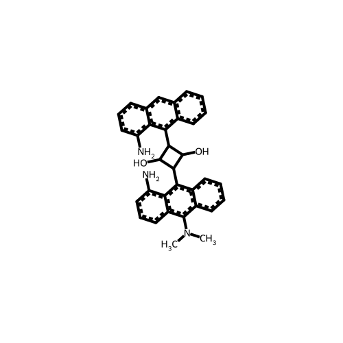 CN(C)c1c2ccccc2c(C2C(O)C(c3c4ccccc4cc4cccc(N)c34)C2O)c2c(N)cccc12